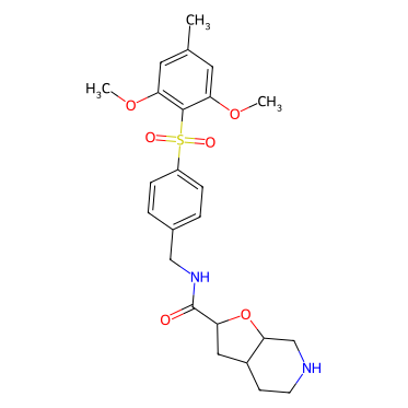 COc1cc(C)cc(OC)c1S(=O)(=O)c1ccc(CNC(=O)C2CC3CCNCC3O2)cc1